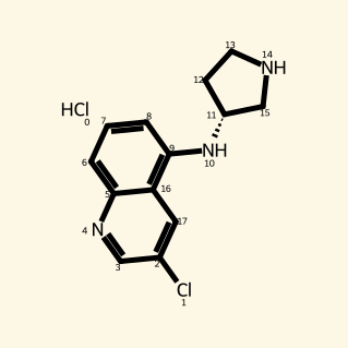 Cl.Clc1cnc2cccc(N[C@@H]3CCNC3)c2c1